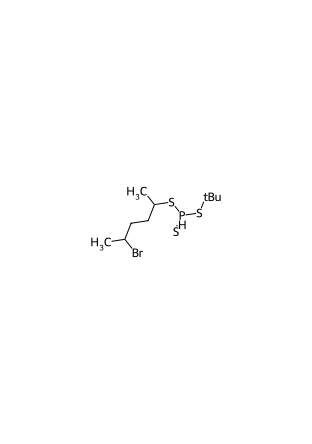 CC(Br)CCC(C)S[PH](=S)SC(C)(C)C